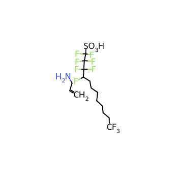 C=CCN.O=S(=O)(O)C(F)(F)C(F)(F)C(F)(F)C(F)CCCCCCCC(F)(F)F